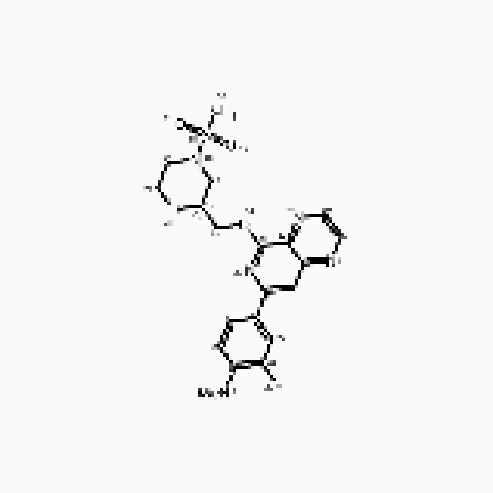 CNc1ccc(-c2cc3nccnc3c(OC[C@@H]3CN(S(C)(=O)=O)CCO3)n2)cc1F